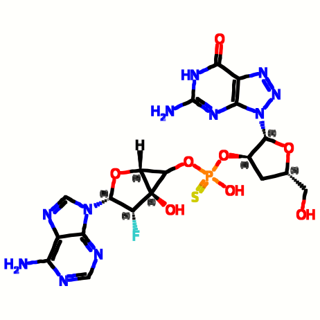 Nc1nc2c(nnn2[C@@H]2O[C@H](CO)C[C@H]2OP(O)(=S)OC2[C@H]3O[C@@H](n4cnc5c(N)ncnc54)[C@@H](F)[C@@]23O)c(=O)[nH]1